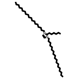 CCCCCCCCCCCCCCCCCCCN1C=CN(CCCCCCCCCCCCCCCCCCC)C1CCCCCC